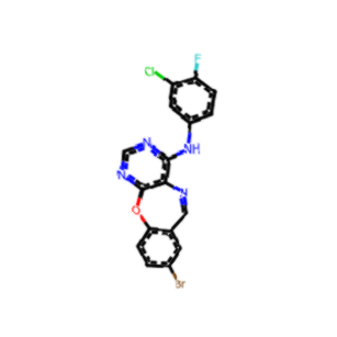 Fc1ccc(Nc2ncnc3c2N=Cc2cc(Br)ccc2O3)cc1Cl